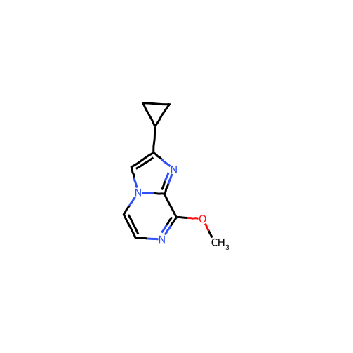 COc1nccn2cc(C3CC3)nc12